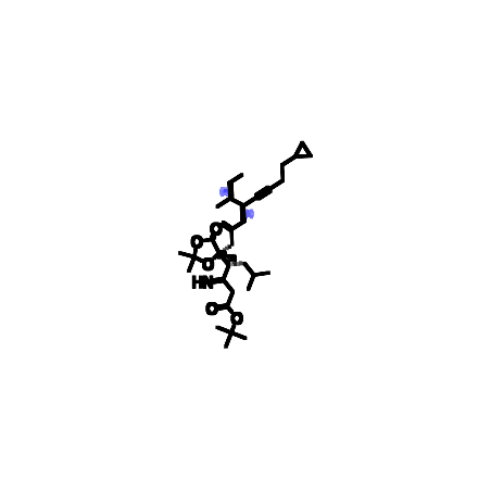 C=C(/C=C(C#CCCC1CC1)\C(C)=C/C)C[C@]1([C@H](CC(C)C)C(=N)CC(=O)OC(C)(C)C)OC(C)(C)OC1=O